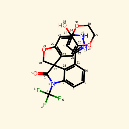 O=C1N(C(F)(F)F)c2cccc(-c3cc(O)[nH]n3)c2C12COc1cc3c(cc12)OCCO3